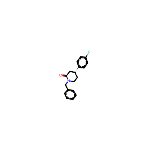 O=C1C[C@H](c2ccc(F)cc2)CCN1Cc1ccccc1